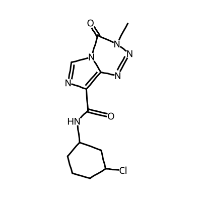 Cn1nnc2c(C(=O)NC3CCCC(Cl)C3)ncn2c1=O